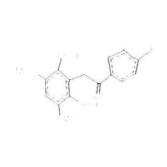 COc1cc(OC)c(C(=O)O)c(CC(=O)c2ccc(F)cc2)[c]1[GeH3]